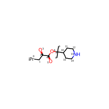 CC(C)CC(=O)C(=O)OC(C)(C)C1CCNCC1